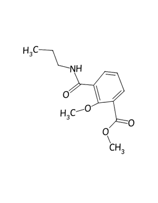 CCCNC(=O)c1cccc(C(=O)OC)c1OC